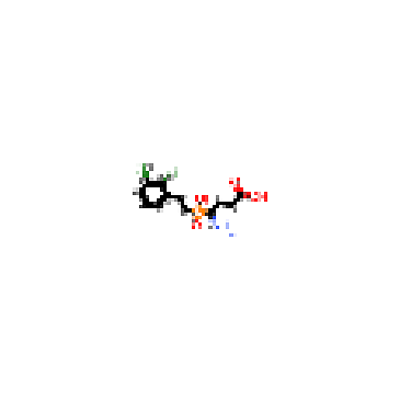 NC(CCC(=O)O)P(=O)(O)CCc1cccc(Cl)c1Cl